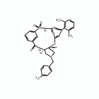 Cc1cccc(C)c1-c1cc2nc(n1)NS(=O)(=O)c1cccc(c1)C(=O)N[C@@H]1CN(Cc3ccc(C(F)(F)F)cc3)C[C@H]1O2